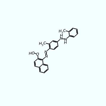 Cc1cc(NNc2ccccc2C)ccc1/N=N/c1c(OO)ccc2ccccc12